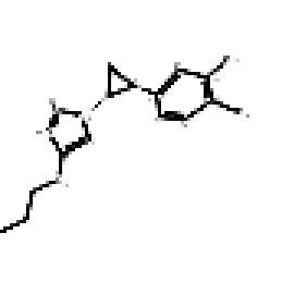 CCCSc1cn([C@@H]2C[C@H]2c2ccc(F)c(F)c2)nn1